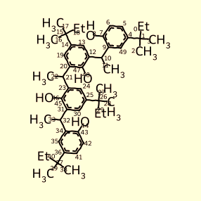 CCC(C)(C)c1ccc(O)c(C(C)c2cc(C(C)(C)CC)cc(C(C)c3cc(C(C)(C)CC)cc(C(C)c4cc(C(C)(C)CC)ccc4O)c3O)c2O)c1